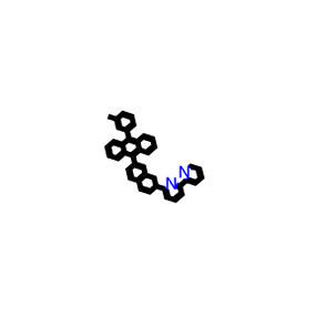 Cc1cccc(-c2c3ccccc3c(-c3ccc4c(c3)CC(c3cccc(-c5ccccn5)n3)C=C4)c3ccccc23)c1